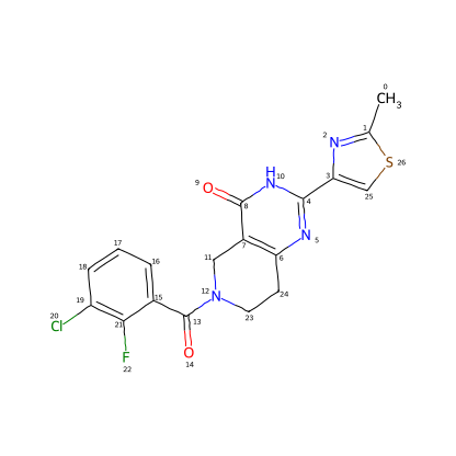 Cc1nc(-c2nc3c(c(=O)[nH]2)CN(C(=O)c2cccc(Cl)c2F)CC3)cs1